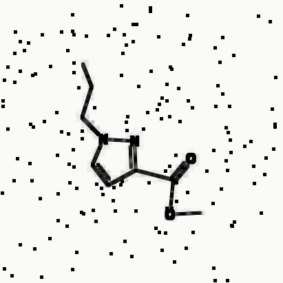 CCCn1ccc(C(=O)OC)n1